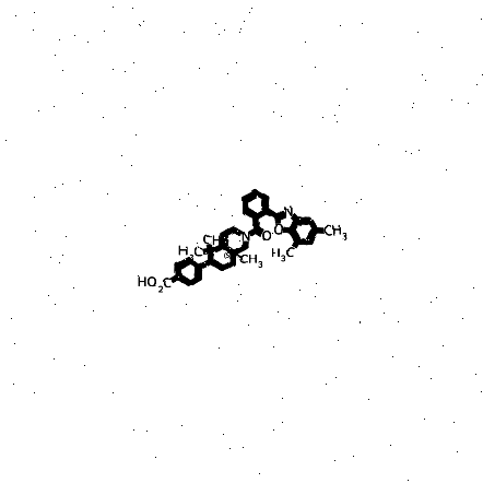 Cc1cc(C)c2oc(-c3ccccc3C(=O)N3CC=C4C(C)(C)C(c5ccc(C(=O)O)cc5)=CC[C@]4(C)C3)nc2c1